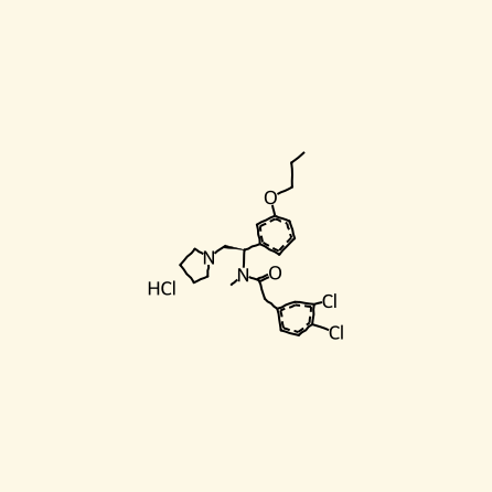 CCCOc1cccc([C@H](CN2CCCC2)N(C)C(=O)Cc2ccc(Cl)c(Cl)c2)c1.Cl